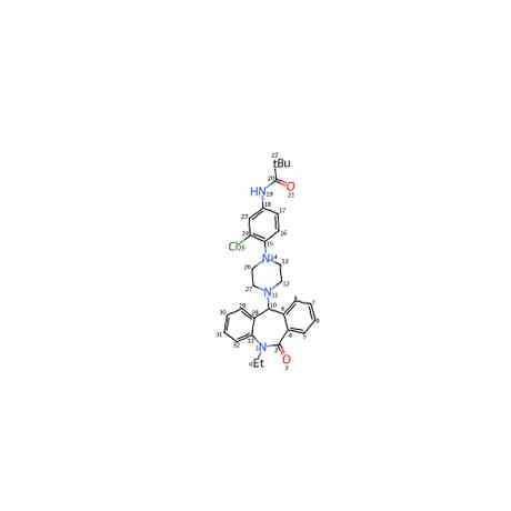 CCN1C(=O)c2ccccc2C(N2CCN(c3ccc(NC(=O)C(C)(C)C)cc3Cl)CC2)c2ccccc21